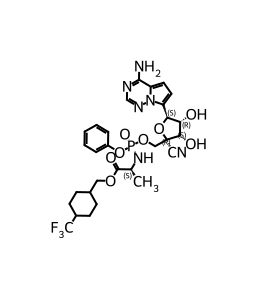 C[C@H](NP(=O)(OC[C@@]1(C#N)O[C@@H](c2ccc3c(N)ncnn23)[C@H](O)[C@@H]1O)Oc1ccccc1)C(=O)OCC1CCC(C(F)(F)F)CC1